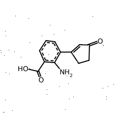 Nc1c(C(=O)O)cccc1C1=CC(=O)CC1